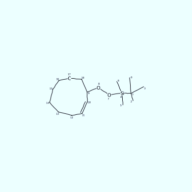 CC(C)(C)[Si](C)(C)OOC1/C=C\CCCCCCC1